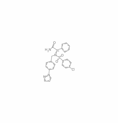 NC(=O)[C@@H](c1ccccc1)N(Cc1ccc(-n2cccn2)cc1)S(=O)(=O)c1ccc(Cl)cc1